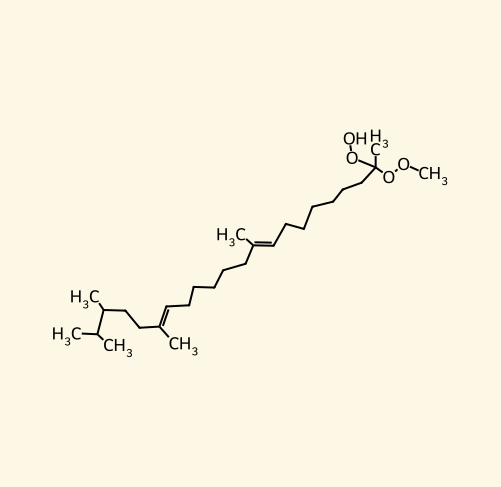 COOC(C)(CCCCCC/C=C(\C)CCCCC/C=C(\C)CCC(C)C(C)C)OO